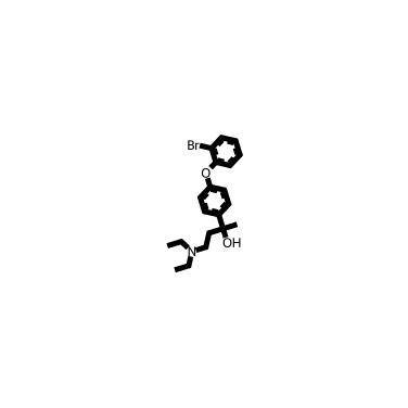 CCN(CC)CCC(C)(O)c1ccc(Oc2ccccc2Br)cc1